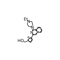 CCN1CCN(c2nc(-c3ccc(CO)s3)cc3ccccc23)CC1